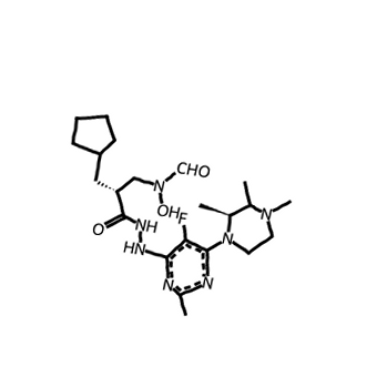 Cc1nc(NNC(=O)[C@H](CC2CCCC2)CN(O)C=O)c(F)c(N2CCN(C)C(C)[C@@H]2C)n1